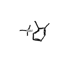 Cc1ccccc1C.[CH3][SnH]([CH3])[CH3]